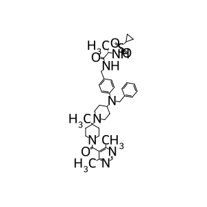 Cc1ncnc(C)c1C(=O)N1CCC(C)(N2CCC(N(Cc3ccccc3)c3ccc(CNC(=O)[C@H](C)NS(=O)(=O)C4CC4)cc3)CC2)CC1